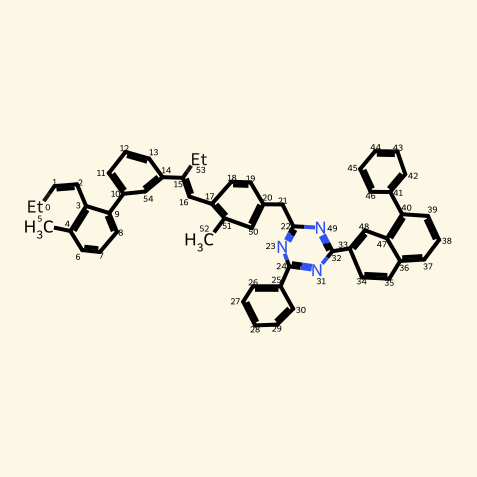 CC/C=C\c1c(C)cccc1-c1cccc(/C(=C/c2ccc(Cc3nc(-c4ccccc4)nc(-c4ccc5cccc(-c6ccccc6)c5c4)n3)cc2C)CC)c1